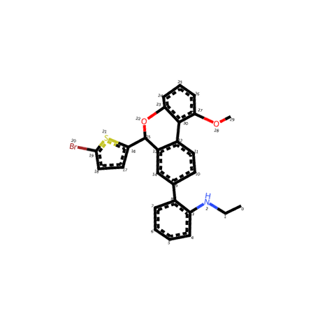 CCNc1ccccc1-c1ccc2c(c1)C(c1ccc(Br)s1)Oc1cccc(OC)c1-2